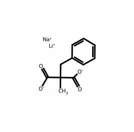 CC(Cc1ccccc1)(C(=O)[O-])C(=O)[O-].[Li+].[Na+]